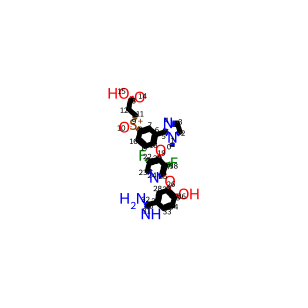 CN1CC=NC1c1cc([S+]([O-])CCC(=O)O)ccc1Oc1c(F)cnc(Oc2cc(C(=N)N)ccc2O)c1F